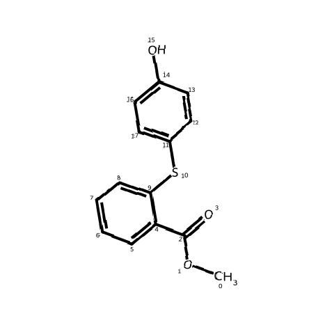 COC(=O)c1ccccc1Sc1ccc(O)cc1